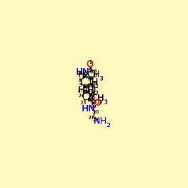 C[C@]12C=CC(=O)N[C@@H]1CC[C@@H]1[C@@H]2CC[C@]2(C)[C@@H](C(=O)NCCN)CC[C@@H]12